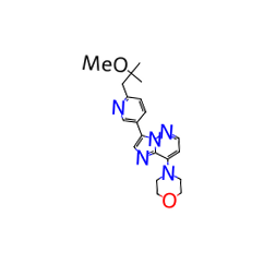 COC(C)(C)Cc1ccc(-c2cnc3c(N4CCOCC4)ccnn23)cn1